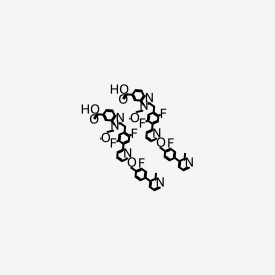 COCCn1c(Cc2cc(F)c(-c3cccc(OCc4ccc(-c5cccnc5C)cc4F)n3)cc2F)nc2ccc(C(=O)O)cc21.COCCn1c(Cc2cc(F)c(-c3cccc(OCc4ccc(-c5cccnc5C)cc4F)n3)cc2F)nc2ccc(C(=O)O)cc21